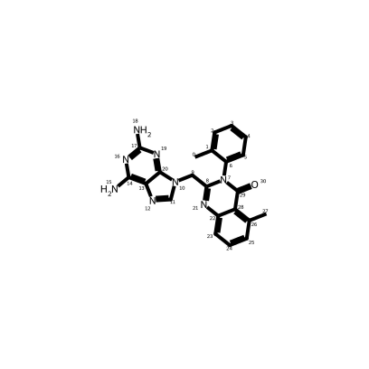 Cc1ccccc1-n1c(Cn2cnc3c(N)nc(N)nc32)nc2cccc(C)c2c1=O